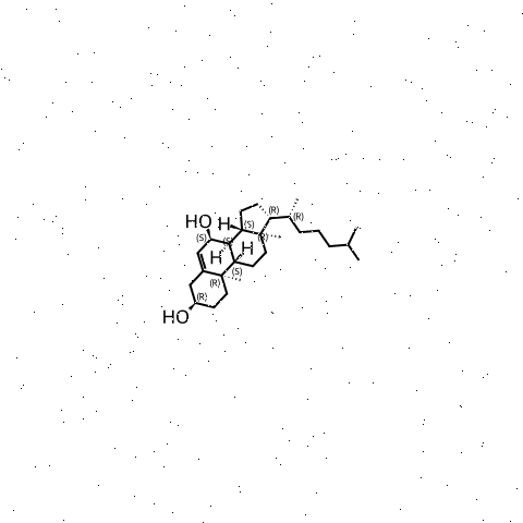 CC(C)CCC[C@@H](C)[C@H]1CC[C@H]2[C@@H]3[C@H](O)C=C4C[C@H](O)CC[C@]4(C)[C@H]3CC[C@]12C